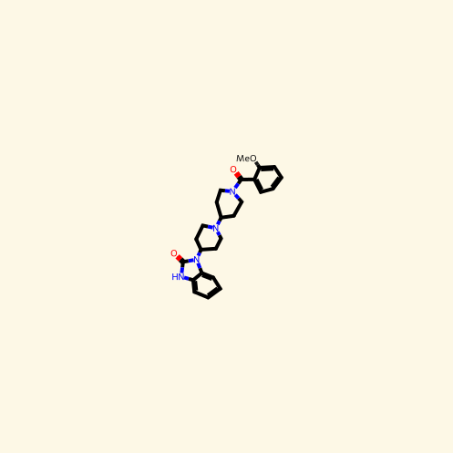 COc1ccccc1C(=O)N1CCC(N2CCC(n3c(=O)[nH]c4ccccc43)CC2)CC1